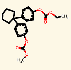 CCOC(=O)Oc1ccc(C2(c3ccc(OC(=O)OC)cc3)CCCCC2)cc1